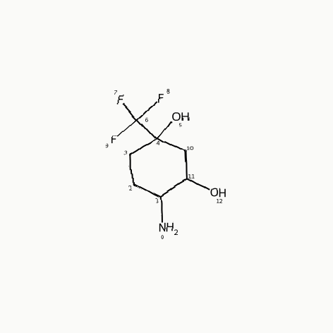 NC1CCC(O)(C(F)(F)F)CC1O